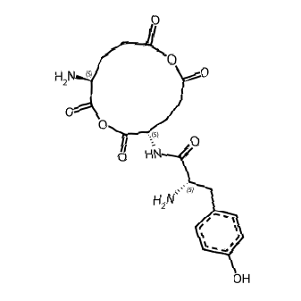 N[C@@H](Cc1ccc(O)cc1)C(=O)N[C@H]1CCC(=O)OC(=O)CC[C@H](N)C(=O)OC1=O